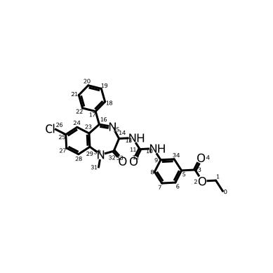 CCOC(=O)c1cccc(NC(=O)NC2N=C(c3ccccc3)c3cc(Cl)ccc3N(C)C2=O)c1